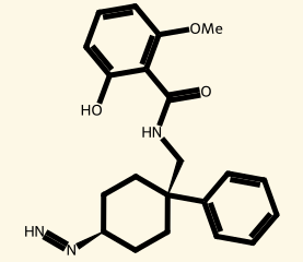 COc1cccc(O)c1C(=O)NC[C@]1(c2ccccc2)CC[C@H](N=N)CC1